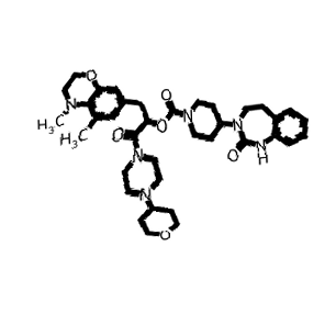 Cc1cc(CC(OC(=O)N2CCC(N3CCc4ccccc4NC3=O)CC2)C(=O)N2CCN(C3CCOCC3)CC2)cc2c1N(C)CCO2